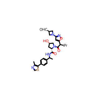 Cc1ncsc1-c1ccc(C(C)NC(=O)[C@@H]2C[C@@H](O)CN2C(=O)C(c2cc(N3CC(C=O)C3)no2)C(C)C)cc1